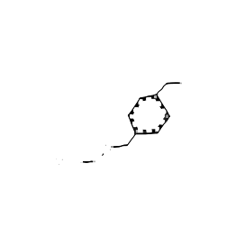 COBNCc1ccc(CCl)cc1